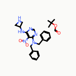 CC(C)(C)OC=O.O=[N+]([O-])c1c(NC2CNC2)ncnc1N(Cc1ccccc1)Cc1ccccc1